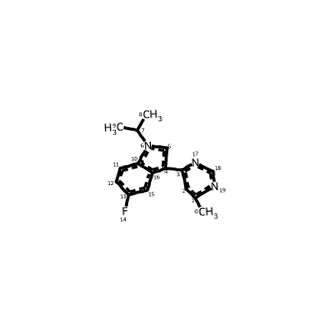 Cc1cc(-c2cn(C(C)C)c3ccc(F)cc23)ncn1